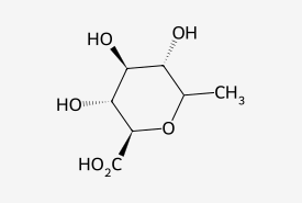 CC1O[C@@H](C(=O)O)[C@H](O)[C@@H](O)[C@@H]1O